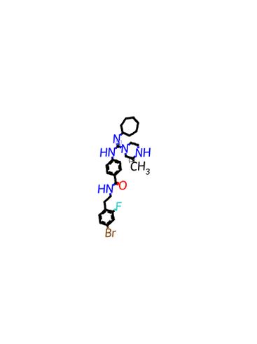 C[C@H]1CN(/C(=N\C2CCCCCC2)Nc2ccc(C(=O)NCCc3ccc(Br)cc3F)cc2)CCN1